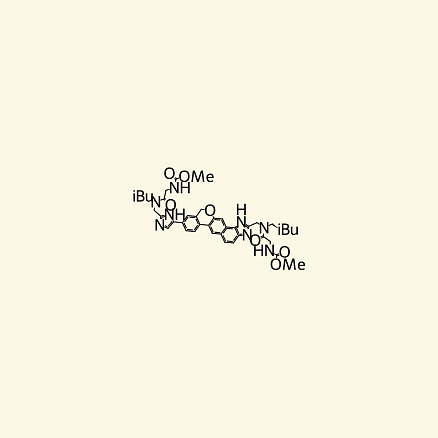 CC[C@H](C)CN(Cc1nc2ccc3cc4c(cc3c2[nH]1)OCc1cc(-c2cnc(CN(C(=O)CNC(=O)OC)[C@@H](C)CC)[nH]2)ccc1-4)C(=O)CNC(=O)OC